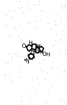 CN(C)c1ccc([C@H]2C[C@]3(C)[C@@H](O)CC[C@H]3[C@@H]3CC[C@H]4CC(=O)CC[C@@H]4[C@H]32)cc1